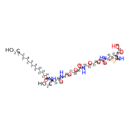 O=C(O)CCCCCCCCCCCCCCC(=O)N[C@@H](CCC(=O)NCCOCCOCC(=O)NCCOCCOCC(=O)NCCCC[C@H](NP)C1OC1O)C(=O)O